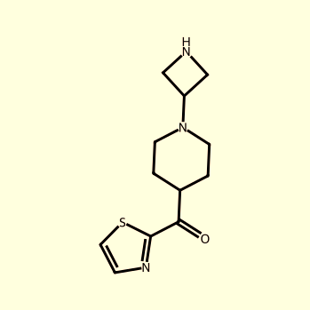 O=C(c1nccs1)C1CCN(C2CNC2)CC1